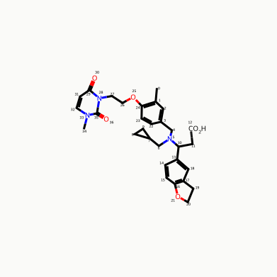 Cc1cc(CN(CC2CC2)C(CC(=O)O)c2ccc3c(c2)CCO3)ccc1OCCn1c(=O)ccn(C)c1=O